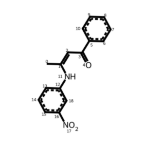 C/C(=C/C(=O)c1ccccc1)Nc1cccc([N+](=O)[O-])c1